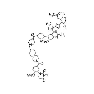 COc1cc2nc(C)nc(N[C@H](C)c3cc(-c4c(Cl)cccc4CN(C)C)cs3)c2cc1C1CCC(C(=O)N2CCN(CC3CCC4(CC3)CCN(C(=O)c3ccc(OC)c(N5CCC(=O)NC5=O)c3)CC4)CC2)CC1